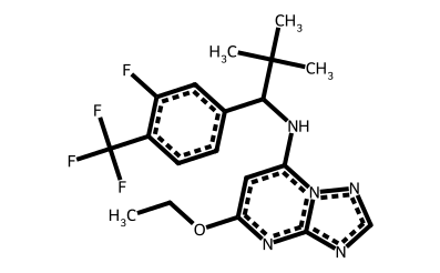 CCOc1cc(NC(c2ccc(C(F)(F)F)c(F)c2)C(C)(C)C)n2ncnc2n1